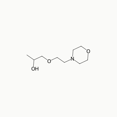 CC(O)COCCN1CCOCC1